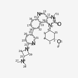 CO[C@@H]1CCC[C@@H](n2c(=O)n(C)c3cnc4ccc(-c5ccc(N6CC(N(C)C)C6)nc5)cc4c32)C1